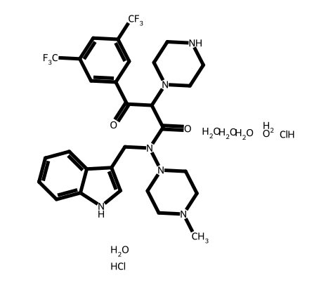 CN1CCN(N(Cc2c[nH]c3ccccc23)C(=O)C(C(=O)c2cc(C(F)(F)F)cc(C(F)(F)F)c2)N2CCNCC2)CC1.Cl.Cl.O.O.O.O.O